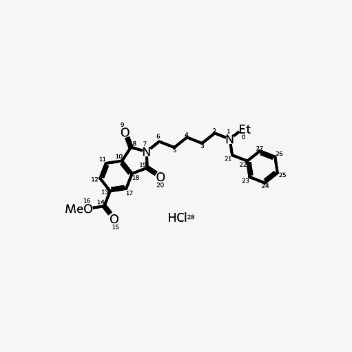 CCN(CCCCCN1C(=O)c2ccc(C(=O)OC)cc2C1=O)Cc1ccccc1.Cl